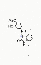 COc1ccc(N/C=C2/C(=O)Nc3ccccc32)cc1O